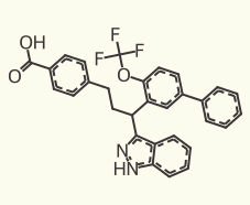 O=C(O)c1ccc(CCC(c2cc(-c3ccccc3)ccc2OC(F)(F)F)c2n[nH]c3ccccc23)cc1